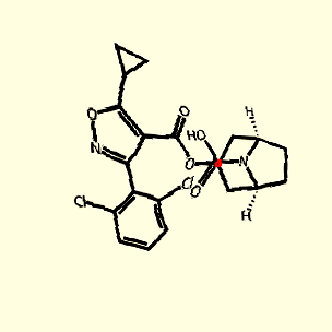 O=C(OC1C[C@H]2CC[C@@H](C1)N2C(=O)O)c1c(-c2c(Cl)cccc2Cl)noc1C1CC1